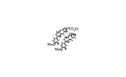 CCOC(=O)Cn1cc2cc3ncc(-c4ccc(OC)c(F)c4)nc3cc2n1.COc1ccc(-c2cnc3cc4[nH]ncc4cc3n2)cc1F